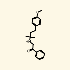 COc1ccc(CCC(C)(C)NCC(=O)c2ccccc2)cc1